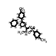 CN/C(=N\S(=O)(=O)c1ccc(C)cc1)N1C[C@H](c2ccccc2)C(c2ccc(C)cc2)=N1